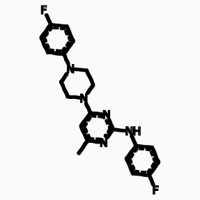 Cc1cc(N2CCN(c3ccc(F)cc3)CC2)nc(Nc2ccc(F)cc2)n1